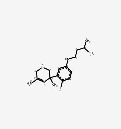 CC(C)CCNc1ccc(F)c(C2(C)COCC(N)=N2)c1